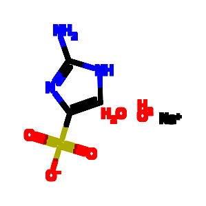 Nc1nc(S(=O)(=O)[O-])c[nH]1.O.O.[Na+]